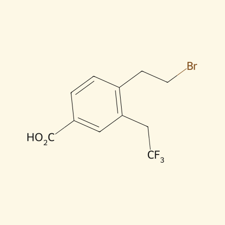 O=C(O)c1ccc(CCBr)c(CC(F)(F)F)c1